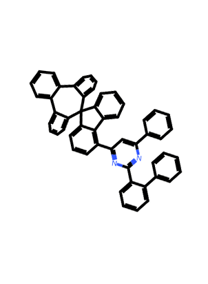 c1ccc(-c2cc(-c3cccc4c3-c3ccccc3C43c4ccccc4-c4ccccc4-c4ccccc43)nc(-c3ccccc3-c3ccccc3)n2)cc1